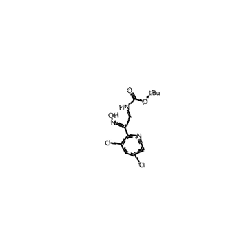 CC(C)(C)OC(=O)NCC(=NO)c1ncc(Cl)cc1Cl